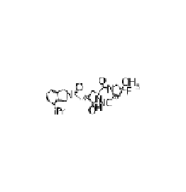 CC(C)c1cccc2c1CN(C(=O)C[C@@H]1CC(C(=O)N3CC(C)(F)C[C@H]3C#N)NC1=O)C2